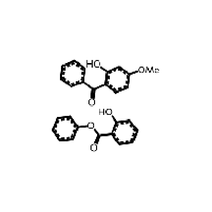 COc1ccc(C(=O)c2ccccc2)c(O)c1.O=C(Oc1ccccc1)c1ccccc1O